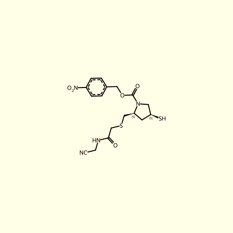 N#CCNC(=O)CSC[C@@H]1C[C@H](S)CN1C(=O)OCc1ccc([N+](=O)[O-])cc1